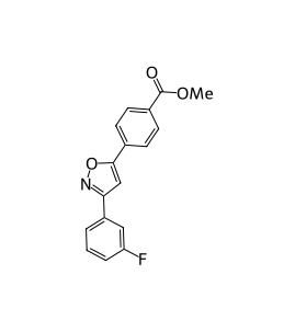 COC(=O)c1ccc(-c2cc(-c3cccc(F)c3)no2)cc1